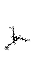 C=COCCOC(=O)c1cc(C(=O)OCCOC=C)cc(C(=O)OCCOC=C)c1